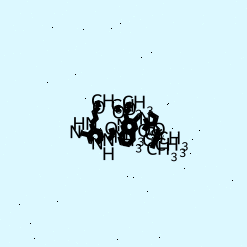 COCCNc1cc(NC(=O)N2CCCc3cc(CN4CC[C@@H](O[Si](C)(C)C(C)(C)C)C4=O)c(C(OC)OC)nc32)ncc1C#N